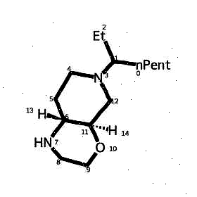 CCCCCC(CC)N1CC[C@H]2NCCO[C@@H]2C1